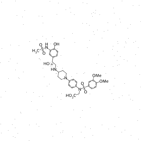 COc1ccc(S(=O)(=O)N(CC(=O)O)c2ccc(N3CCC(NC[C@H](O)c4ccc(O)c(NS(C)(=O)=O)c4)CC3)cc2)cc1OC